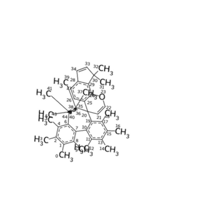 Cc1c(C)c(C)c2c(c1C)-c1c(C)c(C)c(C)c(C)c1C1(C=COc3c1ccc1c3C(C)(C)C=C1)c1c(C)c(C)c(C)c(C)c1-2